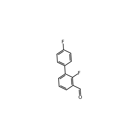 O=Cc1cccc(-c2ccc(F)cc2)c1F